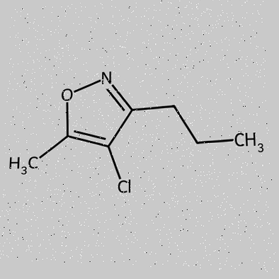 CCCc1noc(C)c1Cl